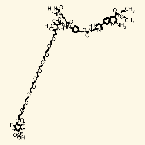 CCCN(OCC)C(=O)C1=Cc2ccc(-c3cnc(CNC(=O)OCc4ccc(NC(=O)[C@H](CCCNC(N)=O)NC(=O)[C@@H](NC(=O)CCOCCOCCOCCOCCOCCOCCOCCOCCOCCOCCC(=O)Oc5c(F)c(F)c(S(=O)(=O)O)c(F)c5F)C(C)C)cc4)nc3)cc2N=C(N)C1